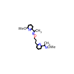 CO/N=C(\C)c1cccc(CCCO/N=C(\C)c2cccc(OC)n2)n1